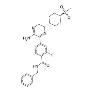 CS(=O)(=O)[C@H]1CC[C@H](C2CN=C(N)C(c3ccc(C(=O)NCc4ccccc4)c(F)c3)=N2)CC1